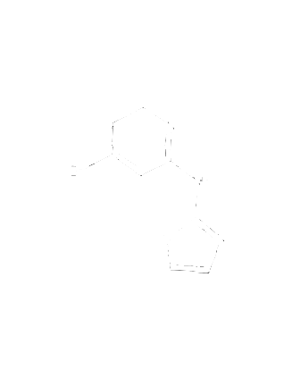 Brc1ccnc(Nc2ncco2)c1